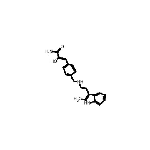 Cc1[nH]c2ccccc2c1CCNCc1ccc(/C=C(\O)C(N)=O)cc1